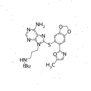 Cc1cnc(-c2cc3c(cc2Sc2nc4c(N)ncnc4n2CCCNC(C)(C)C)OCO3)o1